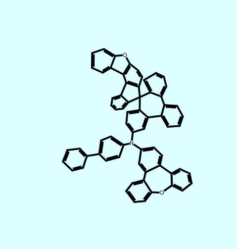 c1ccc(-c2ccc(N(c3ccc4c(c3)-c3ccccc3Oc3ccccc3-4)c3ccc4c(c3)-c3ccccc3-c3ccccc3C43c4ccccc4-c4c3ccc3oc5ccccc5c43)cc2)cc1